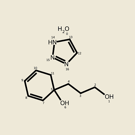 O.OCCCC1(O)C=CC=CC1.c1c[nH]nn1